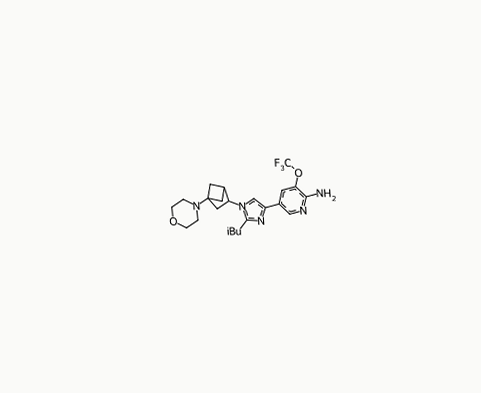 CCC(C)c1nc(-c2cnc(N)c(OC(F)(F)F)c2)cn1C1CC2(N3CCOCC3)CC1C2